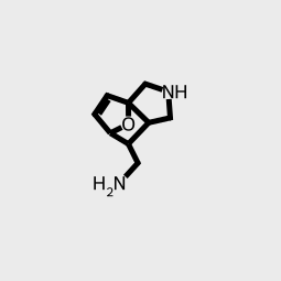 NCC1C2C=CC3(CNCC13)O2